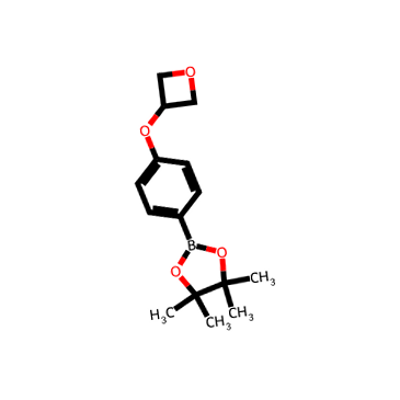 CC1(C)OB(c2ccc(OC3COC3)cc2)OC1(C)C